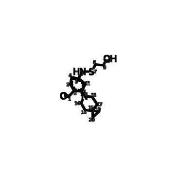 O=Cc1ccc(NSCCO)cc1N1CCC2(CC1)CC2